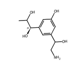 CC(O)[C@H](O)c1cc(O)cc(C(O)CN)c1